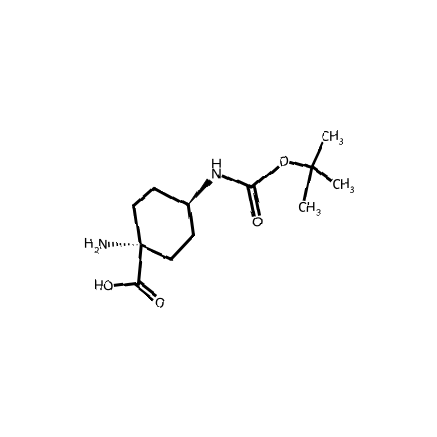 CC(C)(C)OC(=O)N[C@H]1CC[C@@](N)(C(=O)O)CC1